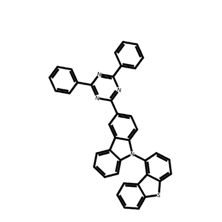 c1ccc(-c2nc(-c3ccccc3)nc(-c3ccc4c(c3)c3ccccc3n4-c3cccc4sc5ccccc5c34)n2)cc1